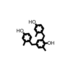 Cc1cc(O)ccc1Cc1cc(C)c(O)c(Cc2ccc(O)cc2C)c1